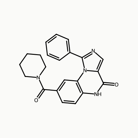 O=C(c1ccc2[nH]c(=O)c3cnc(-c4ccccc4)n3c2c1)N1CCCCC1